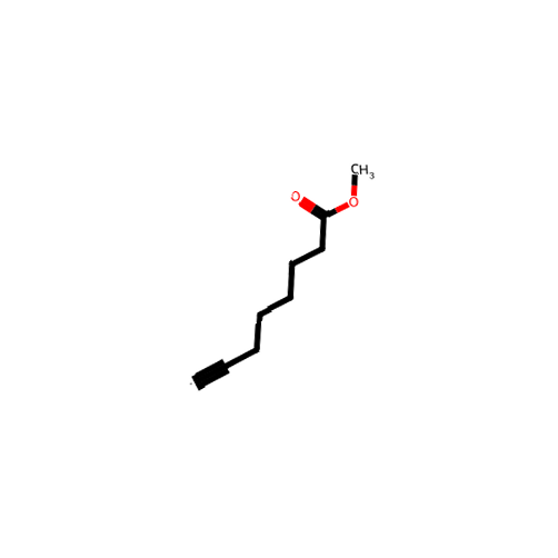 [C]#CCCCCCC(=O)OC